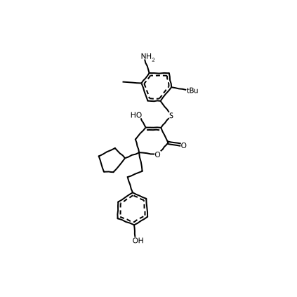 Cc1cc(SC2=C(O)CC(CCc3ccc(O)cc3)(C3CCCC3)OC2=O)c(C(C)(C)C)cc1N